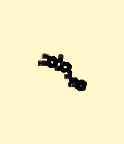 CC(C)c1cc(C(=O)N2CCC(CN[C@@H](Cc3ccccc3)C(=O)O)CC2)c(O)cc1O